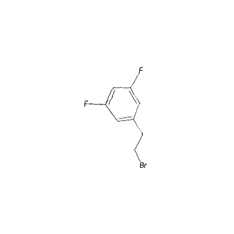 Fc1cc(F)cc(CCBr)c1